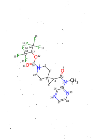 CN(C(=O)C1CC12CCN(C(=O)OC(C(F)(F)F)C(F)(F)F)CC2)c1cnccn1